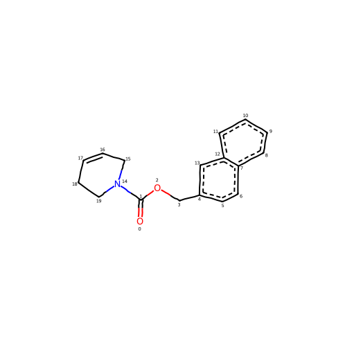 O=C(OCc1ccc2ccccc2c1)N1CC=CCC1